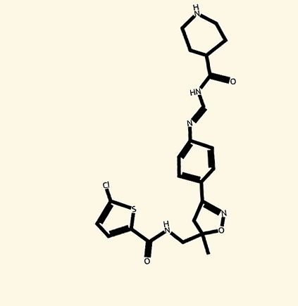 CC1(CNC(=O)c2ccc(Cl)s2)CC(c2ccc(N=CNC(=O)C3CCNCC3)cc2)=NO1